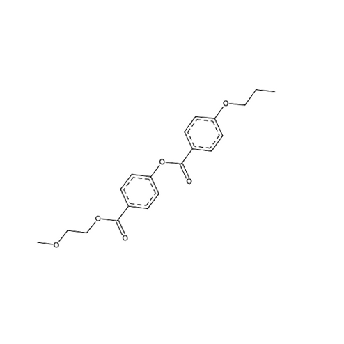 CCCOc1ccc(C(=O)Oc2ccc(C(=O)OCCOC)cc2)cc1